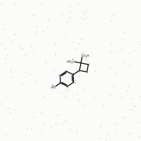 O=C(O)C1(C(=O)O)CCC1c1ccc(O)cc1